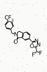 O=C1c2cc(-c3nnc(C(F)F)o3)ccc2CN1Cc1ccc(C(F)(F)F)cc1